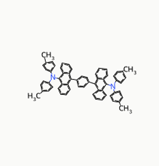 Cc1ccc(N(c2ccc(C)cc2)c2c3ccccc3c(-c3ccc(-c4c5ccccc5c(N(c5ccc(C)cc5)c5ccc(C)cc5)c5ccccc45)cc3)c3ccccc23)cc1